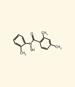 Cc1ccc(C(=O)N(S)c2ccccc2C)c(C)c1